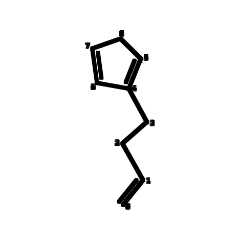 C=CCCC1=[C]CC=C1